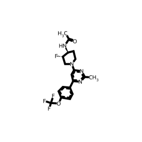 CC(=O)N[C@H]1CCN(c2cc(-c3ccc(OC(F)(F)F)cc3)nc(C)n2)C[C@@H]1F